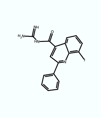 N=C(N)NC(=O)c1cc(-c2ccccc2)nc2c(I)cccc12